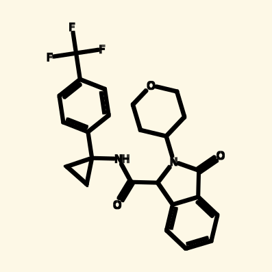 O=C(NC1(c2ccc(C(F)(F)F)cc2)CC1)C1c2ccccc2C(=O)N1C1CCOCC1